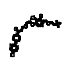 C[C@@H](COCCC(=O)N1CCN(c2ncc(Cl)cn2)CC1)Oc1cnn(COCC[Si](C)(C)C)c(=O)c1Cl